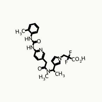 Cc1ccccc1NC(=O)Nc1ccc(CC(=O)N(C)C(C)c2ccn(CC(F)(F)C(=O)O)c2)cn1